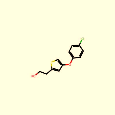 OCCc1cc(Oc2ccc(Cl)cc2)cs1